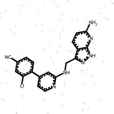 N#Cc1ccc(-c2ccnc(NCc3n[nH]c4nc(N)ccc34)c2)c(Cl)c1